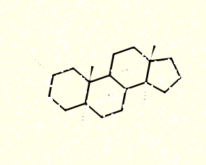 C[C@@]12CCC[C@H]1[C@H]1CC[C@H]3CC[C@H](N)C[C@]3(C)[C@H]1CC2